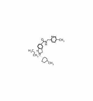 Cc1ccc(CNC(=O)c2ccc3c(c2)CN(C[C@H]2CC[C@H](C)CC2)[C@@H]3C(C)C)nc1